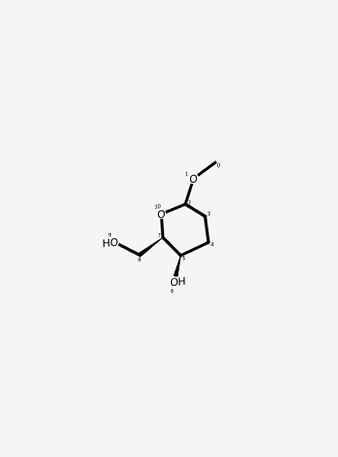 COC1CC[C@@H](O)[C@@H](CO)O1